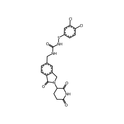 O=C1CCC(N2Cc3cc(CNC(=O)NSc4ccc(Cl)c(Cl)c4)ccc3C2=O)C(=O)N1